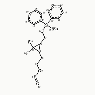 CC(C)(C)[Si](OCC1C(CCOP=O)C1(F)F)(c1ccccc1)c1ccccc1